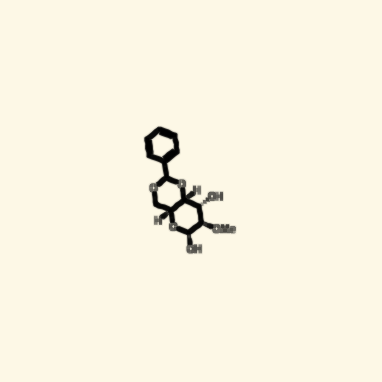 CO[C@@H]1[C@@H](O)[C@H]2OC(c3ccccc3)OC[C@H]2O[C@@H]1O